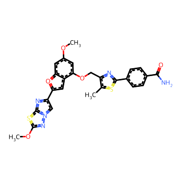 COc1cc(OCc2nc(-c3ccc(C(N)=O)cc3)sc2C)c2cc(-c3cn4nc(OC)sc4n3)oc2c1